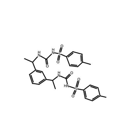 Cc1ccc(S(=O)(=O)NC(=O)NC(C)c2cccc(C(C)NC(=O)NS(=O)(=O)c3ccc(C)cc3)c2)cc1